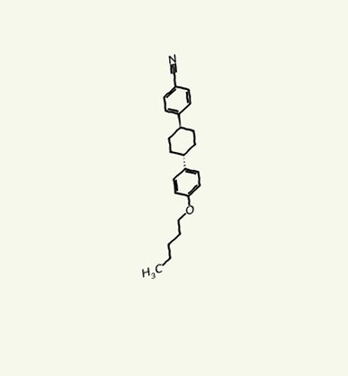 CCCCCOc1ccc([C@H]2CC[C@H](c3ccc(C#N)cc3)CC2)cc1